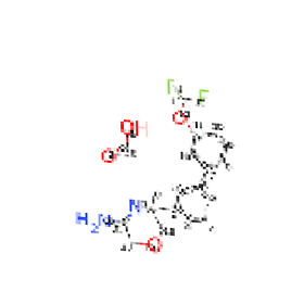 CC1(c2cccc(-c3cccc(OC(F)F)c3)c2)COCC(N)=N1.O=CO